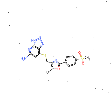 Cc1oc(-c2ccc(S(C)(=O)=O)cc2)nc1CSc1cc(N)nc2[nH]nnc12